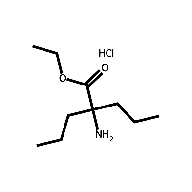 CCCC(N)(CCC)C(=O)OCC.Cl